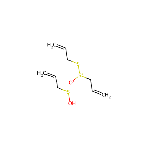 C=CCSO.C=CCS[S+]([O-])CC=C